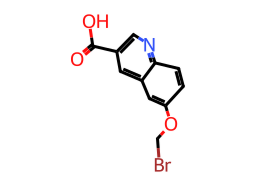 O=C(O)c1cnc2ccc(OCBr)cc2c1